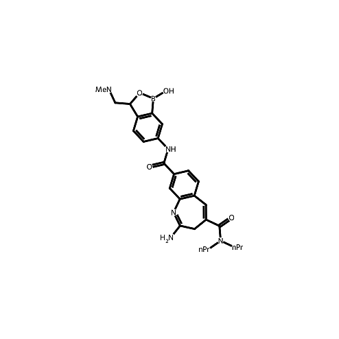 CCCN(CCC)C(=O)C1=Cc2ccc(C(=O)Nc3ccc4c(c3)B(O)OC4CNC)cc2N=C(N)C1